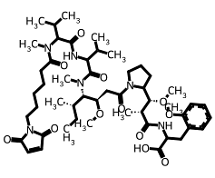 CC[C@H](C)[C@@H]([C@@H](CC(=O)N1CCCC1[C@H](OC)[C@@H](C)C(=O)NC(Cc1ccccc1OC)C(=O)O)OC)N(C)C(=O)C(NC(=O)C(C(C)C)N(C)C(=O)CCCCCN1C(=O)C=CC1=O)C(C)C